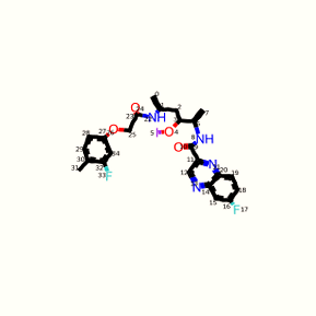 C=C(CC(OI)C(=C)NC(=O)c1cnc2cc(F)ccc2n1)NC(=O)COc1ccc(C)c(F)c1